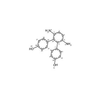 Nc1ccc(N)c(-c2ccc(O)cc2)c1-c1ccc(O)cc1